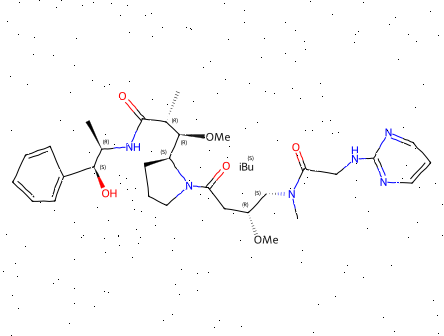 CC[C@H](C)[C@@H]([C@@H](CC(=O)N1CCC[C@H]1[C@H](OC)[C@@H](C)C(=O)N[C@H](C)[C@@H](O)c1ccccc1)OC)N(C)C(=O)CNc1ncccn1